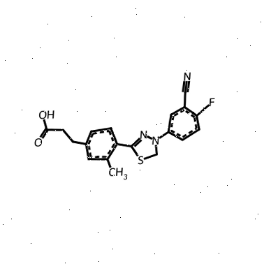 Cc1cc(CCC(=O)O)ccc1C1=NN(c2ccc(F)c(C#N)c2)CS1